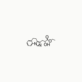 CCOC(=O)C(O)Cc1ncn2c1CCc1ccccc1-2